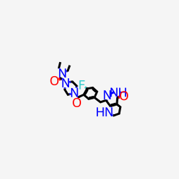 CCN(CC)C(=O)N1CCN(C(=O)c2cc(Cc3n[nH]c(=O)c4c3NCCC4)ccc2F)CC1